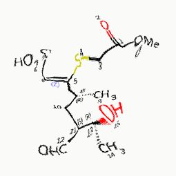 COC(=O)CS/C(=C\C(=O)O)[C@H](C)C[C@H](C=O)[C@@H](C)O